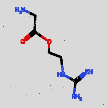 N=C(N)NCCOC(=O)CN